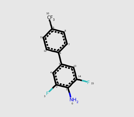 Nc1c(F)cc(-c2ccc(C(F)(F)F)cc2)cc1F